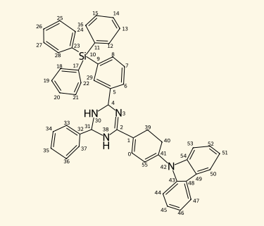 C1=C(C2=NC(c3cccc([Si](c4ccccc4)(c4ccccc4)c4ccccc4)c3)NC(c3ccccc3)N2)CCC(n2c3ccccc3c3ccccc32)=C1